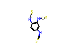 S=C=Nc1ccc(N=C=S)c(N=C=S)c1